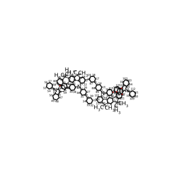 CC1(C)c2cc3c(cc2-c2c(N(c4ccc(-c5cccc(-c6cc(N(c7ccc(-c8ccccc8)cc7)c7ccc(C8C=Cc9c(c%10ccccc%10n9-c9ccccc9)C8)cc7)c7c(c6)C(C)(C)c6cc8c(cc6-7)-c6cccc7cccc(c67)C8(C)C)c5)cc4)c4ccc(-c5ccc6c(c5)c5ccccc5n6-c5ccccc5)cc4)cccc21)-c1c(ccc2ccccc12)C3(C)C